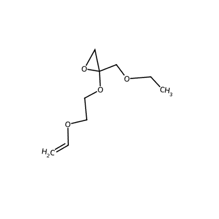 C=COCCOC1(COCC)CO1